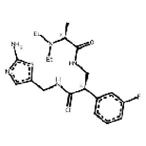 CCN(CC)[C@@H](C)C(=O)NC[C@H](C(=O)NCc1cnc(N)s1)c1cccc(F)c1